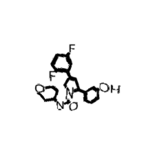 CN(C(=O)N1CC(c2cc(F)ccc2F)=CC1c1cccc(O)c1)C1CCOCC1